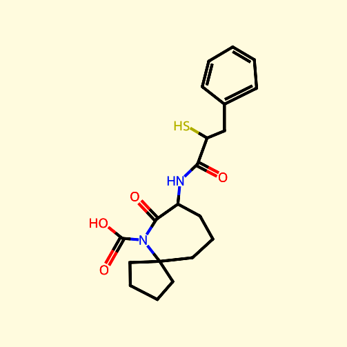 O=C(NC1CCCC2(CCCC2)N(C(=O)O)C1=O)C(S)Cc1ccccc1